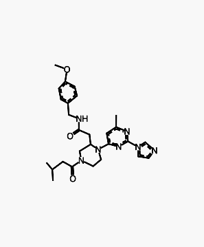 COc1ccc(CNC(=O)CC2CN(C(=O)CC(C)C)CCN2c2cc(C)nc(-n3ccnc3)n2)cc1